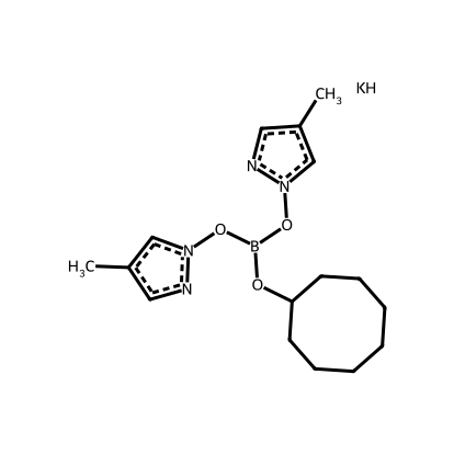 Cc1cnn(OB(OC2CCCCCCC2)On2cc(C)cn2)c1.[KH]